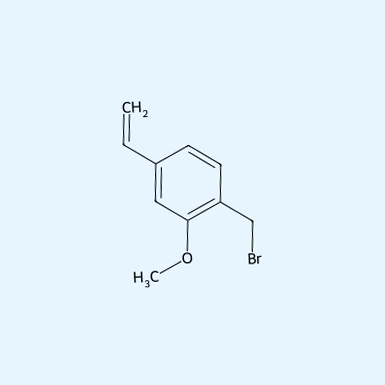 C=Cc1ccc(CBr)c(OC)c1